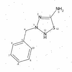 NC1=NN(Cc2ccccc2)NS1